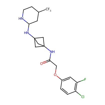 O=C(COc1ccc(Cl)c(F)c1)NC12CC(NC3CC(C(F)(F)F)CCN3)(C1)C2